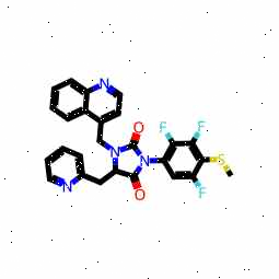 CSc1c(F)cc(N2C(=O)C(Cc3ccccn3)N(Cc3ccnc4ccccc34)C2=O)c(F)c1F